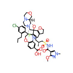 CCCc1cc(Cl)ccc1[C@]1(C)COc2ccc(C(=O)O)cc2N(CC2=C(C(CN3CCN4CCOC[C@@H]4C3)(OC)/C(F)=C/C[C@H](C)CS(=O)(=O)NC(=O)c3cn(C)nc3OC)OCC2)C1